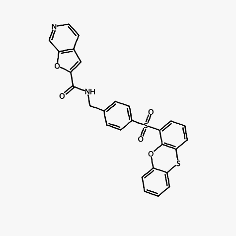 O=C(NCc1ccc(S(=O)(=O)c2cccc3c2Oc2ccccc2S3)cc1)c1cc2ccncc2o1